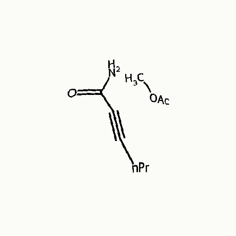 CCCC#CC(N)=O.COC(C)=O